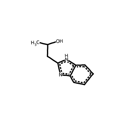 CC(O)Cc1nc2ccccc2[nH]1